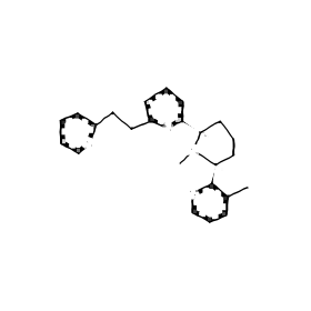 Cc1cccnc1[C@@H]1CCC[C@H](c2cccc(CCc3ccccn3)n2)N1C